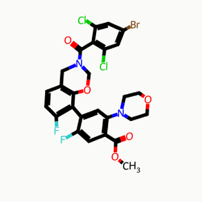 COC(=O)c1cc(F)c(-c2c(F)ccc3c2OCN(C(=O)c2c(Cl)cc(Br)cc2Cl)C3)cc1N1CCOCC1